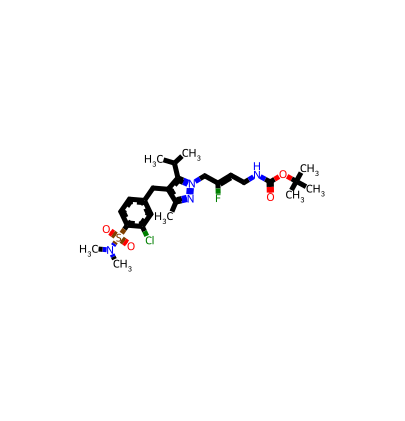 Cc1nn(C/C(F)=C/CNC(=O)OC(C)(C)C)c(C(C)C)c1Cc1ccc(S(=O)(=O)N(C)C)c(Cl)c1